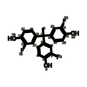 CC(c1ccc(O)c(F)c1)(c1ccc(O)c(F)c1)c1ccc(O)c(F)c1